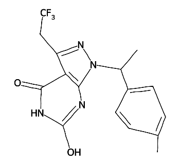 Cc1ccc(C(C)n2nc(CC(F)(F)F)c3c(=O)[nH]c(O)nc32)cc1